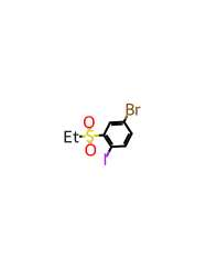 CCS(=O)(=O)c1cc(Br)ccc1I